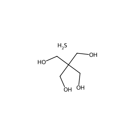 OCC(CO)(CO)CO.S